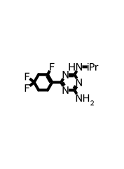 CC(C)Nc1nc(N)nc(C2=C(F)CC(F)(F)CC2)n1